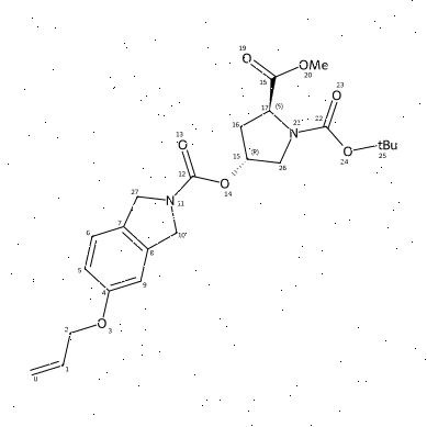 C=CCOc1ccc2c(c1)CN(C(=O)O[C@@H]1C[C@@H](C(=O)OC)N(C(=O)OC(C)(C)C)C1)C2